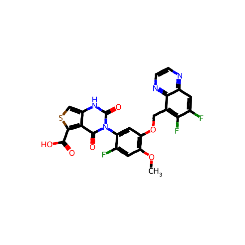 COc1cc(F)c(-n2c(=O)[nH]c3csc(C(=O)O)c3c2=O)cc1OCc1c(F)c(F)cc2nccnc12